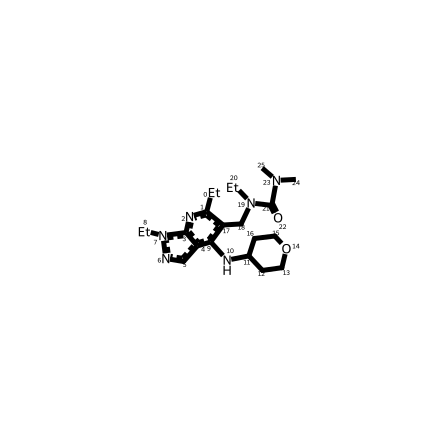 CCc1nc2c(cnn2CC)c(NC2CCOCC2)c1CN(CC)C(=O)N(C)C